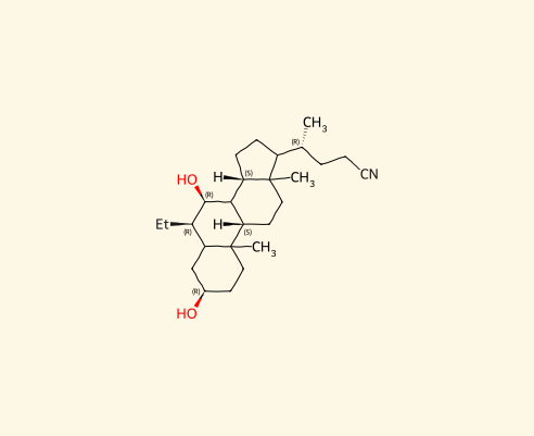 CC[C@@H]1C2C[C@H](O)CCC2(C)[C@H]2CCC3(C)C([C@H](C)CCC#N)CC[C@H]3C2[C@@H]1O